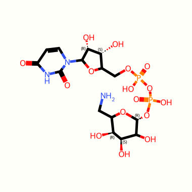 NCC1O[C@H](OP(=O)(O)OP(=O)(O)OCC2OC(n3ccc(=O)[nH]c3=O)[C@H](O)[C@@H]2O)C(O)[C@@H](O)[C@H]1O